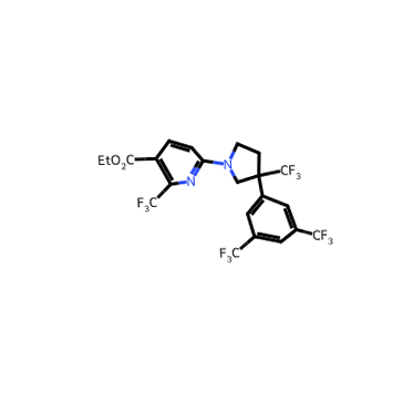 CCOC(=O)c1ccc(N2CCC(c3cc(C(F)(F)F)cc(C(F)(F)F)c3)(C(F)(F)F)C2)nc1C(F)(F)F